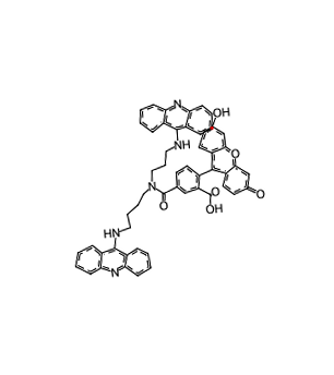 O=C(O)c1cc(C(=O)N(CCCCNc2c3ccccc3nc3ccccc23)CCCNc2c3ccccc3nc3ccccc23)ccc1-c1c2ccc(=O)cc-2oc2cc(O)ccc12